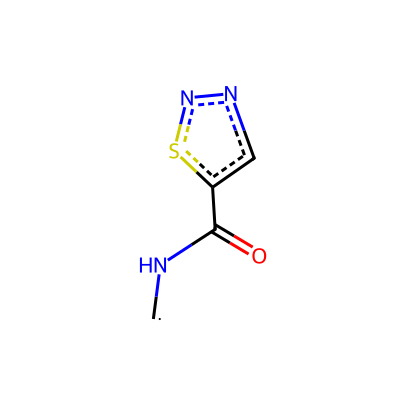 [CH2]NC(=O)c1cnns1